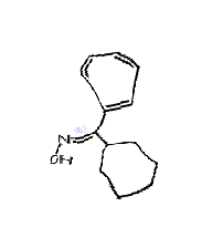 O/N=C(/c1ccccc1)C1CCCCC1